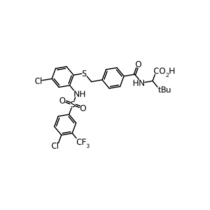 CC(C)(C)C(NC(=O)c1ccc(CSc2ccc(Cl)cc2NS(=O)(=O)c2ccc(Cl)c(C(F)(F)F)c2)cc1)C(=O)O